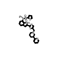 CC(C)N(c1cccc2cc(-c3ncc(CN4CCCC(c5ccccn5)C4)s3)[nH]c12)S(=O)(=O)c1cccs1